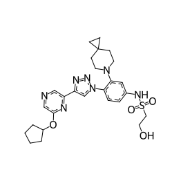 O=S(=O)(CCO)Nc1ccc(-n2cc(-c3cncc(OC4CCCC4)n3)nn2)c(N2CCC3(CC2)CC3)c1